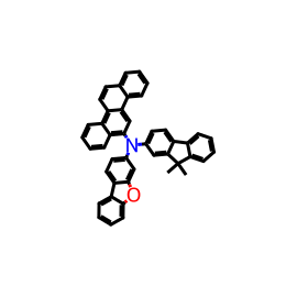 CC1(C)c2ccccc2-c2ccc(N(c3ccc4c(c3)oc3ccccc34)c3cc4c5ccccc5ccc4c4ccccc34)cc21